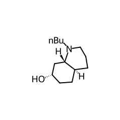 CCCCN1CCC[C@H]2CC[C@H](O)C[C@@H]21